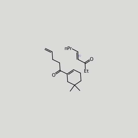 C=CCCC(=O)C1=CCCC(C)(C)C1.CCC/C=C/C(=O)CC